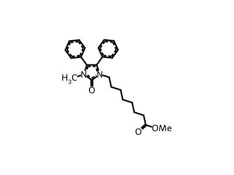 COC(=O)CCCCCCCn1c(-c2ccccc2)c(-c2ccccc2)n(C)c1=O